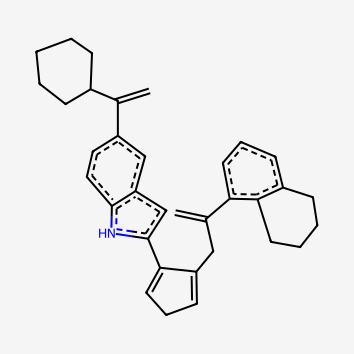 C=C(CC1=CCC=C1c1cc2cc(C(=C)C3CCCCC3)ccc2[nH]1)c1cccc2c1CCCC2